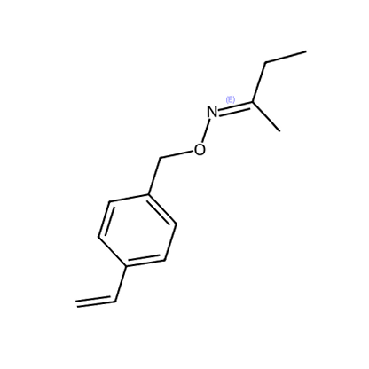 C=Cc1ccc(CO/N=C(\C)CC)cc1